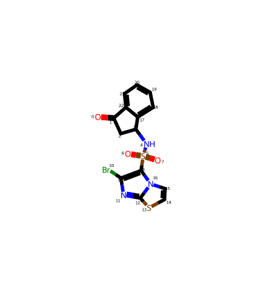 O=C1CC(NS(=O)(=O)c2c(Br)nc3sccn23)c2ccccc21